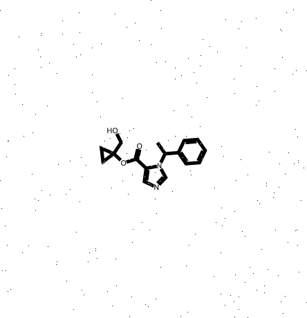 CC(c1ccccc1)n1cncc1C(=O)OC1(CO)CC1